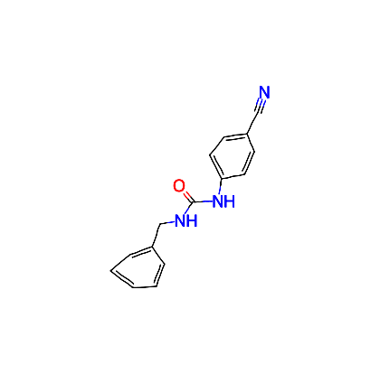 N#Cc1ccc(NC(=O)NCc2ccccc2)cc1